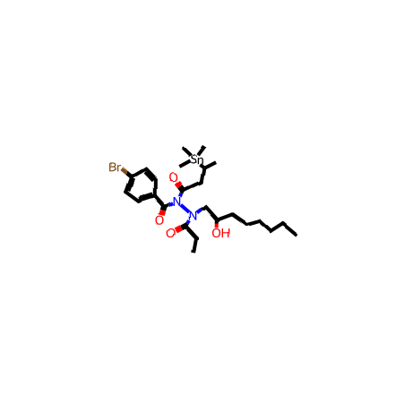 CCCCCCC(O)CN(C(=O)CC)N(C(=O)C[CH](C)[Sn]([CH3])([CH3])[CH3])C(=O)c1ccc(Br)cc1